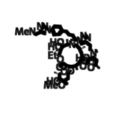 CC[C@H]1OC(=O)[C@H](C)[C@@H](O[C@H]2C[C@@](C)(OC)[C@@H](O)[C@H](C)O2)[C@H](C)[C@@H](O[C@@H]2O[C@H](C)C[C@H](N(C)CCc3cn(CCCCc4ccc(-n5cc(CNC)nn5)cc4)nn3)[C@H]2O)[C@](C)(O)C[C@@H](C)CN(C)[C@H](C)[C@@H](O)[C@]1(C)O